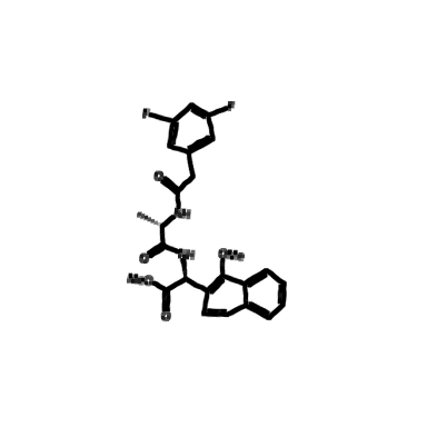 COC(=O)[C@@H](NC(=O)[C@H](C)NC(=O)Cc1cc(F)cc(F)c1)c1ccc2ccccc2c1OC